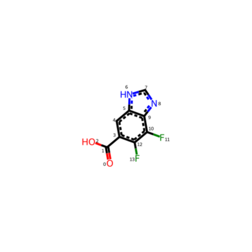 O=C(O)c1cc2[nH]cnc2c(F)c1F